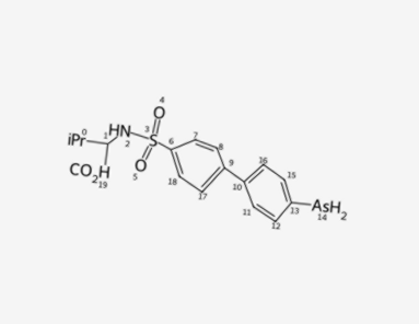 CC(C)C(NS(=O)(=O)c1ccc(-c2ccc([AsH2])cc2)cc1)C(=O)O